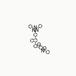 c1ccc(-c2nc(-c3ccccc3)nc(-c3ccc(-c4ccc(-c5cccc6c5oc5cc7oc(-c8ccccc8)nc7cc56)c5ccccc45)cc3)n2)cc1